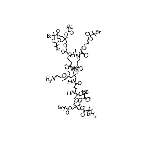 BC(C)(C)C(=O)OCC(COCC(=O)NCCC(=O)NCC(CNC(=O)CCNC(=O)COCCCOC(=O)C(C)(C)Br)(CNC(=O)CCNC(=O)COCC(COC(=O)C(C)(C)Br)(COC(=O)C(C)(C)Br)COC(=O)C(C)(C)Br)CC(CC)(CC)OCCN)(COC(=O)C(C)(C)Br)COC(=O)C(C)(C)Br